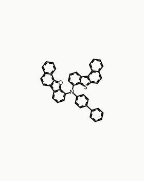 c1ccc(-c2ccc(N(c3cccc4c3oc3c5ccccc5ccc43)c3cccc4c3sc3ccc5ccccc5c34)cc2)cc1